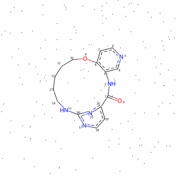 O=C1Nc2cnccc2OCCCCCNc2nccc1n2